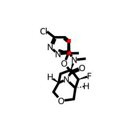 CN(c1ccc(Cl)nn1)[C@@H]1C[C@H]2COC[C@H]([C@@H]1F)N2C(=O)OC(C)(C)C